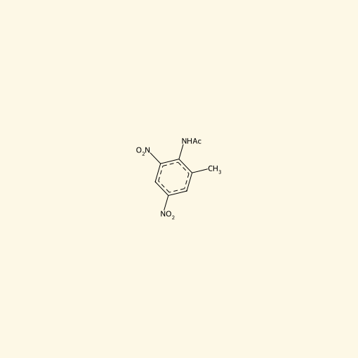 CC(=O)Nc1c(C)cc([N+](=O)[O-])cc1[N+](=O)[O-]